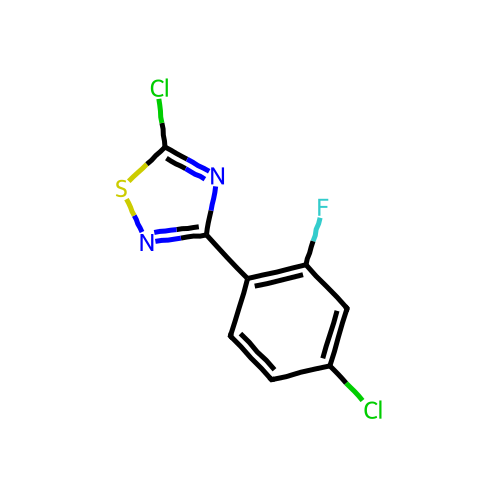 Fc1cc(Cl)ccc1-c1nsc(Cl)n1